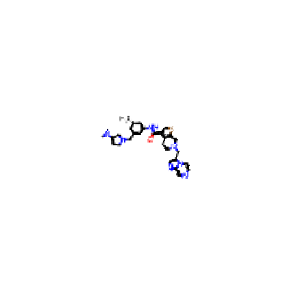 CN(C)C1CCN(Cc2cc(NC(=O)c3csc4c3CCN(Cc3cnc5cnccn35)C4)cc(C(F)(F)F)c2)C1